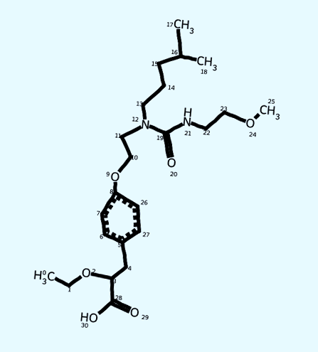 CCOC(Cc1ccc(OCCN(CCCC(C)C)C(=O)NCCOC)cc1)C(=O)O